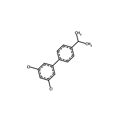 CC(C)c1ccc(-c2cc(Cl)cc(Cl)c2)cc1